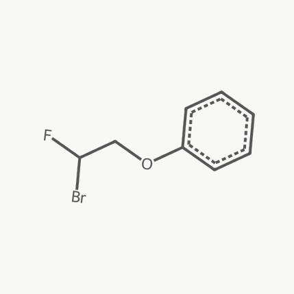 FC(Br)COc1ccccc1